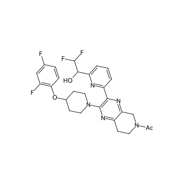 CC(=O)N1CCc2nc(N3CCC(Oc4ccc(F)cc4F)CC3)c(-c3cccc(C(O)C(F)F)n3)nc2C1